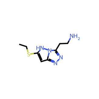 CCSc1cc2nnc(CCN)n2[nH]1